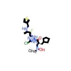 C=C(NCc1ccsc1)/C(F)=C(\N=C(/N)Cl)NNC(=O)[C@H](CC1CCCC1)CN(O)C=O